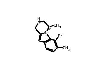 Cc1ccc2cc3n(c2c1Br)[C@H](C)CNC3